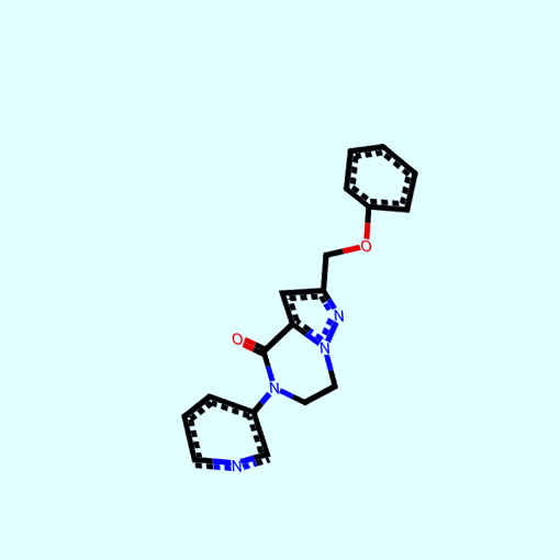 O=C1c2cc(COc3ccccc3)nn2CCN1c1cccnc1